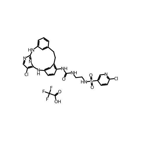 O=C(NCCNS(=O)(=O)c1ccc(Cl)nc1)Nc1ccc2cc1CCc1cccc(c1)Nc1ncc(Cl)c(n1)N2.O=C(O)C(F)(F)F